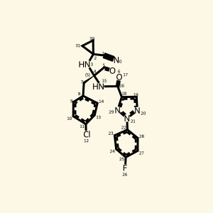 N#CC1(N[C@@](C=O)(Cc2ccc(Cl)cc2)NC(=O)c2cnn(-c3ccc(F)cc3)n2)CC1